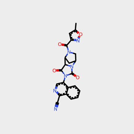 Cc1cc(C(=O)N2CC3CC2C2C(=O)N(c4cnc(C#N)c5ccccc45)C(=O)N32)no1